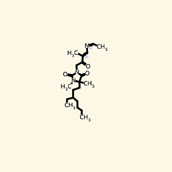 C/C=N\C=C(/C)C(=O)CN1C(=O)N(C)C(C)(CCC(CC)CCCC)C1=O